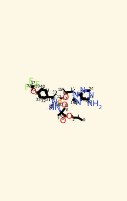 CCCOC(=O)C(C)(C)NP(=O)(CO[C@@H](C)Cn1cnc2c(N)ncnc21)N(C)[C@H](C)c1ccc(OC(F)(F)F)cc1